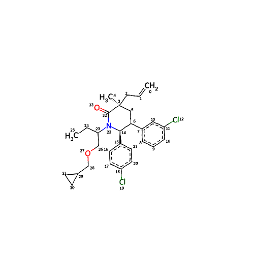 C=CC[C@@]1(C)CC(c2cccc(Cl)c2)[C@@H](c2ccc(Cl)cc2)N(C(CC)COCC2CC2)C1=O